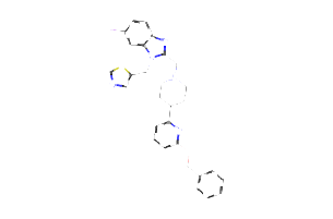 Ic1ccc2nc(CN3CCC(c4cccc(OCc5ccccc5)n4)CC3)n(Cc3cncs3)c2c1